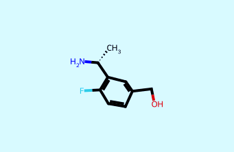 C[C@@H](N)c1cc(CO)ccc1F